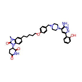 Cn1c(=O)n(C2CCC(=O)NC2=O)c2ccc(CCCCCOc3ccc(CN4CCN(c5cc(-c6ccccc6O)nnc5N)CC4)cc3)cc21